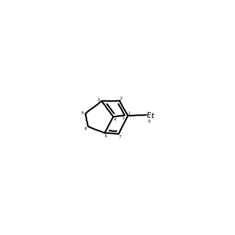 CCc1cc2c(C)c(c1)CC2